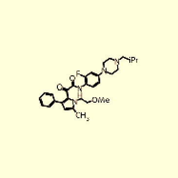 COCCn1c(C)cc(-c2ccccc2)c1C(=O)C(=O)Nc1ccc(N2CCN(CC(C)C)CC2)cc1F